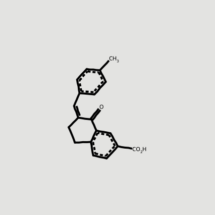 Cc1ccc(C=C2CCc3ccc(C(=O)O)cc3C2=O)cc1